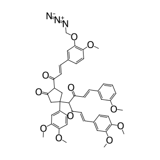 COc1cccc(/C=C/C(=O)C(C(=O)/C=C/c2ccc(OC)c(OC)c2)C2(c3ccc(OC)c(OC)c3)CC(=O)C(C(=O)/C=C/c3ccc(OC)c(OCN=[N+]=[N-])c3)C2)c1